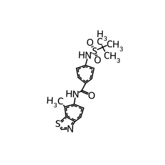 Cc1c(NC(=O)c2ccc(NS(=O)(=O)C(C)(C)C)cc2)ccc2ncsc12